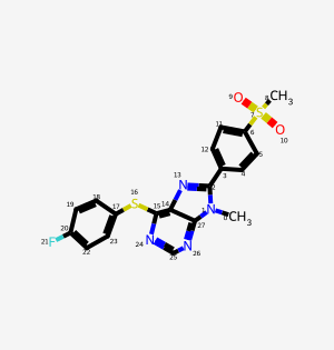 Cn1c(-c2ccc(S(C)(=O)=O)cc2)nc2c(Sc3ccc(F)cc3)ncnc21